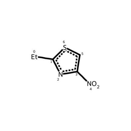 CCc1nc([N+](=O)[O-])cs1